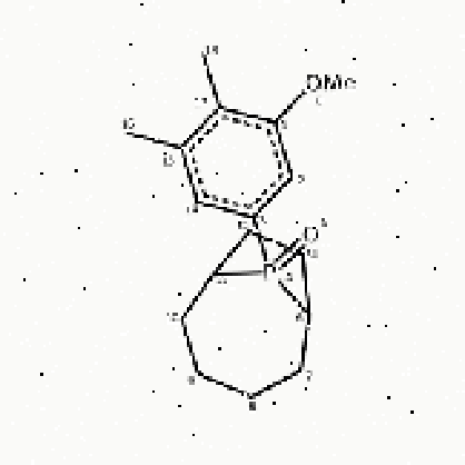 COc1cc(P2(=O)C3CCCCC2CC3)cc(C)c1C